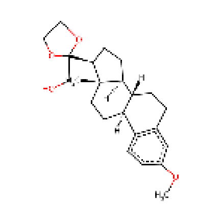 COc1ccc2c(c1)CC[C@@H]1[C@@H]2CC[C@]2(C)[C@@H](C3(CO)OCCO3)CC[C@@H]12